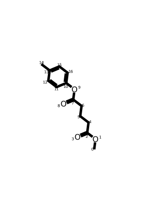 COC(=O)CCCC(=O)Oc1ccc(C)cc1